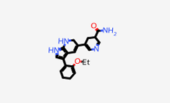 CCOC1=CCCC=C1c1c[nH]c2c1C=C(C1=CN=CC(C(N)=O)C1)CN2